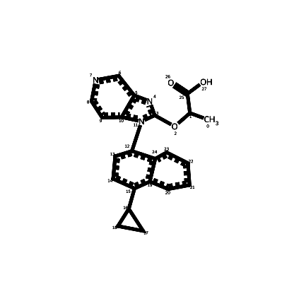 CC(Oc1nc2cnccc2n1-c1ccc(C2CC2)c2ccccc12)C(=O)O